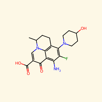 CC1CCc2c(N3CCC(O)CC3)c(F)c(N)c3c(=O)c(C(=O)O)cn1c23